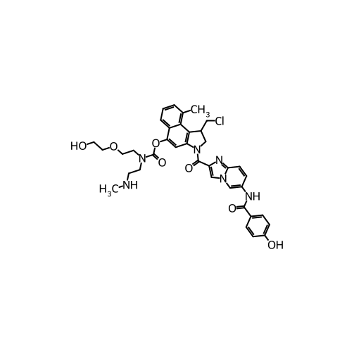 CNCCN(CCOCCO)C(=O)Oc1cc2c(c3c(C)cccc13)C(CCl)CN2C(=O)c1cn2cc(NC(=O)c3ccc(O)cc3)ccc2n1